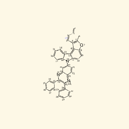 C=C/C=C\c1c(C)oc2ccc3c(c4ccccc4n3-c3ccc4nc(-c5ccccc5)c(-c5ccccc5)nc4c3)c12